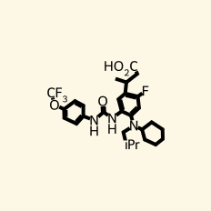 CC(C)CN(c1cc(F)c(C(C)CC(=O)O)cc1NC(=O)Nc1ccc(OC(F)(F)F)cc1)C1CCCCC1